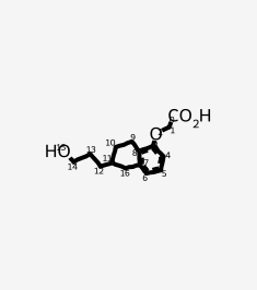 O=C(O)COc1cccc2c1CCC(CCCO)C2